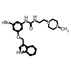 CCCCc1cc(NC(=O)NCCN2CCN(C)CC2)cc(OCc2c[nH]c3ccccc23)c1